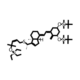 C=C1C(=CC=C2CCC[C@]3(C)C([C@H](C)SC/C=C\C(C)(C)O[Si](CC)(CC)CC)=CC[C@@H]23)C[C@@H](O[Si](C)(C)C(C)(C)C)C[C@@H]1O[Si](C)(C)C(C)(C)C